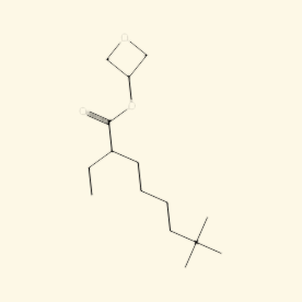 CCC(CCCCC(C)(C)C)C(=O)OC1COC1